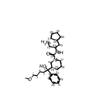 COCCCC[C@@](O)(c1ccccc1)[C@@H]1CCCN(C(=O)NC(CN)CC2CCCC2)C1